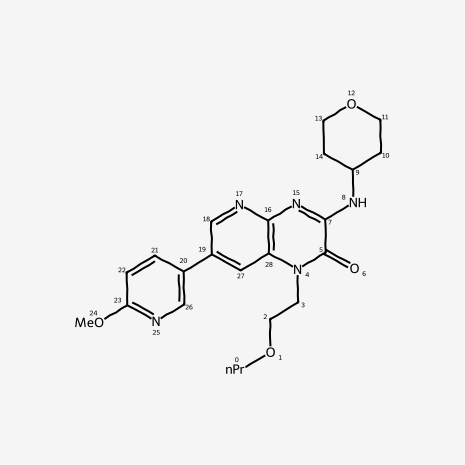 CCCOCCn1c(=O)c(NC2CCOCC2)nc2ncc(-c3ccc(OC)nc3)cc21